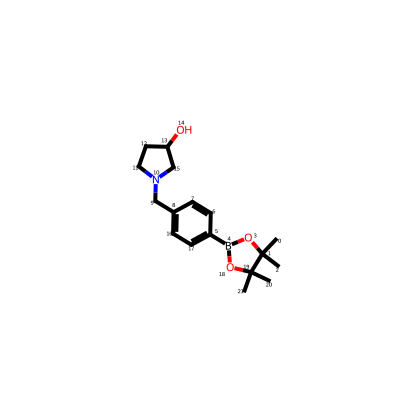 CC1(C)OB(c2ccc(CN3CCC(O)C3)cc2)OC1(C)C